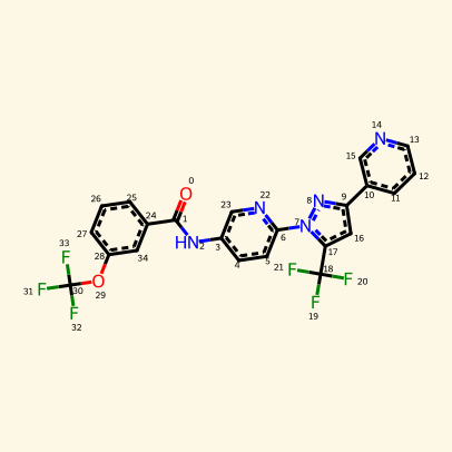 O=C(Nc1ccc(-n2nc(-c3cccnc3)cc2C(F)(F)F)nc1)c1cccc(OC(F)(F)F)c1